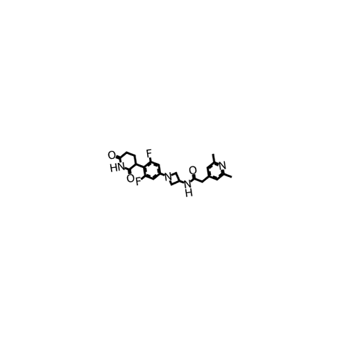 Cc1cc(CC(=O)NC2CN(c3cc(F)c(C4CCC(=O)NC4=O)c(F)c3)C2)cc(C)n1